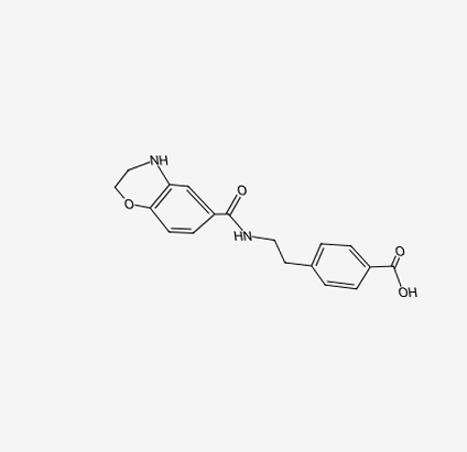 O=C(O)c1ccc(CCNC(=O)c2ccc3c(c2)NCCO3)cc1